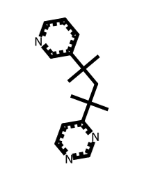 CC(C)(CC(C)(C)c1ccncn1)c1cccnc1